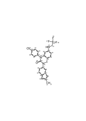 Cn1cc2cc(N3Cc4ccc(NCC(F)(F)F)cc4N(c4ccc(Cl)cc4)C3=O)ccc2n1